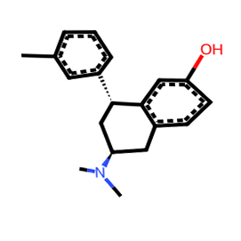 Cc1cccc([C@H]2C[C@H](N(C)C)Cc3ccc(O)cc32)c1